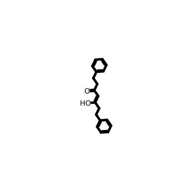 O=C(/C=C(\O)CCc1ccccc1)CCc1ccccc1